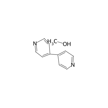 CO.c1cc(-c2ccncc2)ccn1